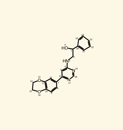 OC(CNc1cc(-c2ccc3c(c2)OCCO3)ncn1)c1ccccc1